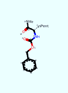 CCCCC[C@H](NC(=O)OCc1ccccc1)C(=O)NC